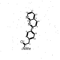 CNC(=O)Cc1ccc(-c2ccc3cccnc3n2)cc1